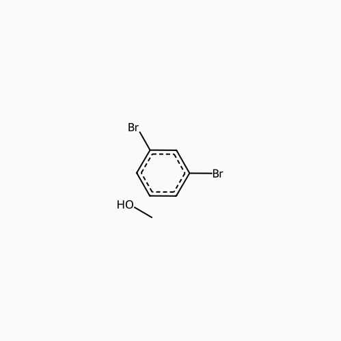 Brc1cccc(Br)c1.CO